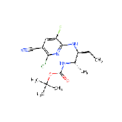 CC[C@H](Nc1nc(Cl)c(C#N)cc1F)[C@H](C)NC(=O)OC(C)(C)C